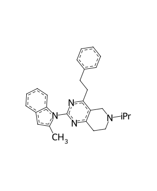 Cc1cc2ccccc2n1-c1nc(CCc2ccccc2)c2c(n1)CCN(C(C)C)C2